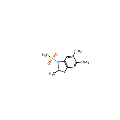 COc1cc2c(cc1C=O)N(S(C)(=O)=O)C(C)C2